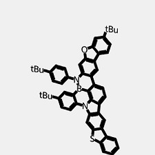 CC(C)(C)c1ccc(N2B3c4cc(C(C)(C)C)ccc4-n4c5cc6sc7ccccc7c6cc5c5ccc(c3c54)-c3cc4c(cc32)oc2cc(C(C)(C)C)ccc24)cc1